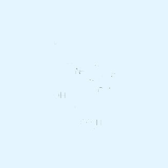 CC(C)(CO)c1c(-c2ccc(C(=O)O)cc2)c2c(O)c(F)ccc2n1-c1ccc(F)cc1